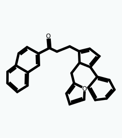 O=C(CCC1=CC=C(c2ccccc2)C1Cc1ccco1)c1ccc2ccccc2c1